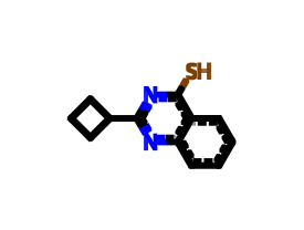 Sc1nc(C2CCC2)nc2ccccc12